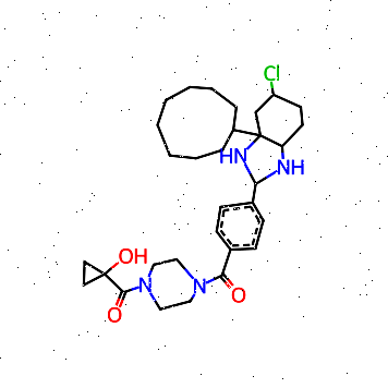 O=C(c1ccc(C2NC3CCC(Cl)CC3(C3CCCCCCCC3)N2)cc1)N1CCN(C(=O)C2(O)CC2)CC1